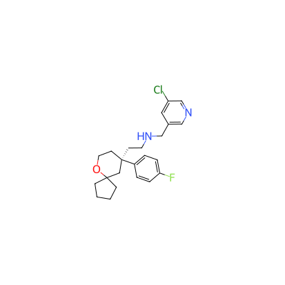 Fc1ccc([C@]2(CCNCc3cncc(Cl)c3)CCOC3(CCCC3)C2)cc1